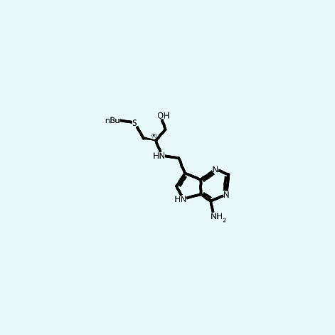 CCCCSC[C@@H](CO)NCc1c[nH]c2c(N)ncnc12